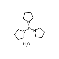 C1CCN(P(N2CCCC2)N2CCCC2)C1.O